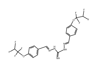 N=C(NN=Cc1ccc(OC(F)(F)C(F)F)cc1)NN=Cc1ccc(OC(F)(F)C(F)F)cc1